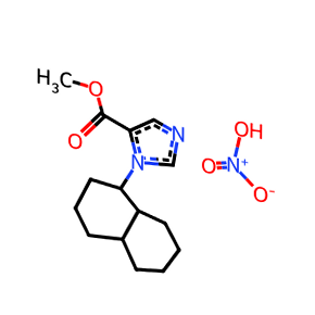 COC(=O)c1cncn1C1CCCC2CCCCC21.O=[N+]([O-])O